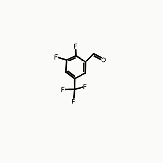 O=Cc1cc(C(F)(F)F)cc(F)c1F